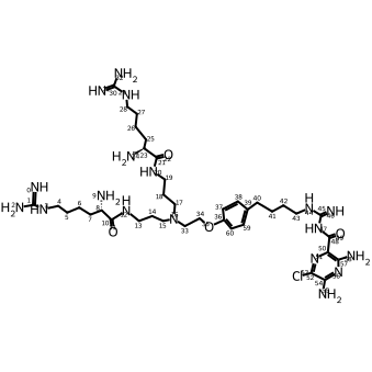 N=C(N)NCCCC[C@H](N)C(=O)NCCCN(CCCNC(=O)[C@@H](N)CCCCNC(=N)N)CCOc1ccc(CCCCNC(=N)NC(=O)c2nc(Cl)c(N)nc2N)cc1